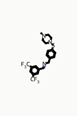 CN1CCN(Sc2ccc(C/N=C/c3cc(C(F)(F)F)cc(C(F)(F)F)c3)cc2)CC1